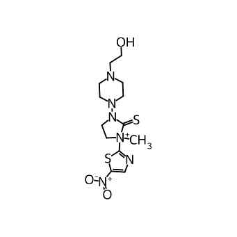 C[N+]1(c2ncc([N+](=O)[O-])s2)CCN(N2CCN(CCO)CC2)C1=S